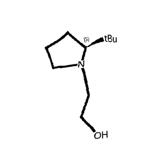 CC(C)(C)[C@@H]1CCCN1CCO